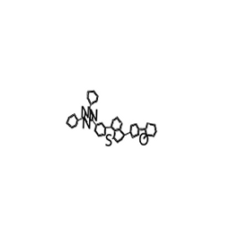 c1ccc(-c2nc(-c3ccccc3)nc(-c3ccc4c(c3)-c3cccc5c(-c6ccc7c(c6)oc6ccccc67)ccc(c35)S4)n2)cc1